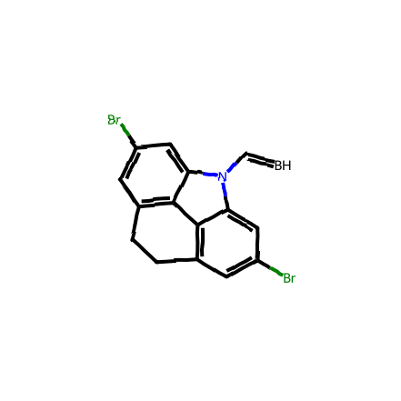 B=Cn1c2cc(Br)cc3c2c2c(cc(Br)cc21)CC3